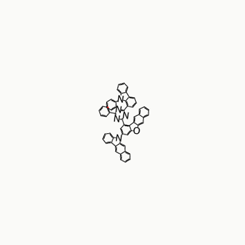 c1ccc(-c2nc(-c3cc(-n4c5ccccc5c5cc6ccccc6cc54)cc4oc5cc6ccccc6cc5c34)nc(-c3cccc4c5ccccc5n(-c5ccccc5)c34)n2)cc1